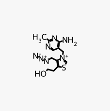 Cc1ncc(C[n+]2csc(CCO)c2CN=[N+]=[N-])c(N)n1